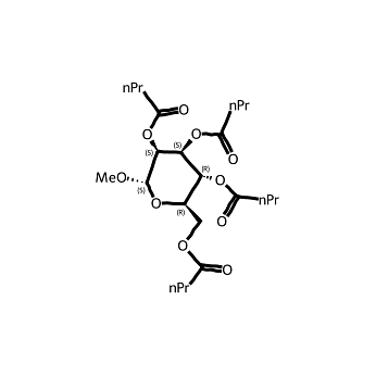 CCCC(=O)OC[C@H]1O[C@H](OC)[C@@H](OC(=O)CCC)[C@@H](OC(=O)CCC)[C@@H]1OC(=O)CCC